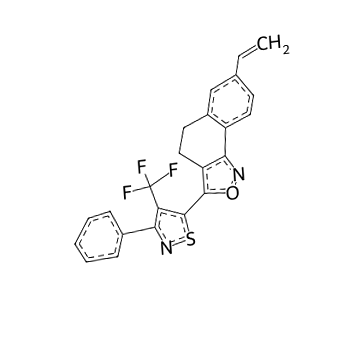 C=Cc1ccc2c(c1)CCc1c-2noc1-c1snc(-c2ccccc2)c1C(F)(F)F